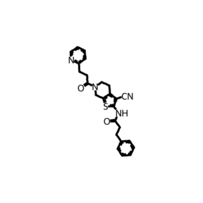 N#Cc1c(NC(=O)CCc2ccccc2)sc2c1CCN(C(=O)CCc1ccccn1)C2